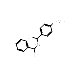 CCC(NC(CC)c1ccc(OC)cc1)c1ccccc1